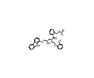 COc1ccccc1OCCN(CC(O)COc1cccc2c1[nH]c1ccccc12)C(=O)c1ccccc1CO[N+](=O)[O-]